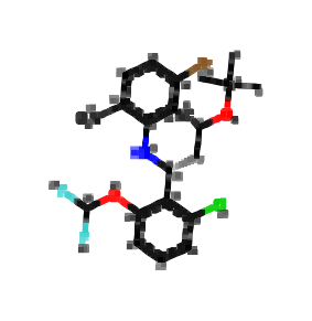 C[Si](C)(C)OC(C#N)C[C@@H](Nc1cc(Br)ccc1[N+](=O)[O-])c1c(Cl)cccc1OC(F)F